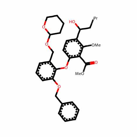 COC(=O)c1c(Oc2c(COC3CCCCO3)cccc2OCc2ccccc2)ccc(C(O)CC(C)C)c1OC